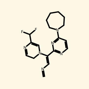 C=N/C=C(/c1nccc(N2CCCCCC2)n1)N1C=C(C(F)F)N=CC1